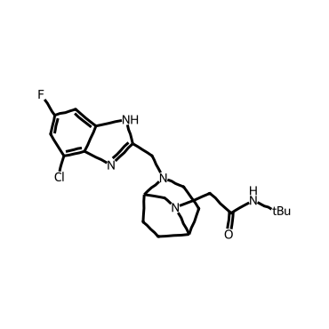 CC(C)(C)NC(=O)CN1CC2CCC1CCN2Cc1nc2c(Cl)cc(F)cc2[nH]1